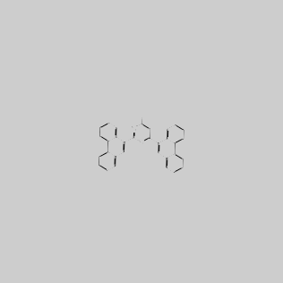 Clc1cc(-c2cc3ccccc3c3ccccc23)nc(-c2cc3ccccc3c3ccccc23)n1